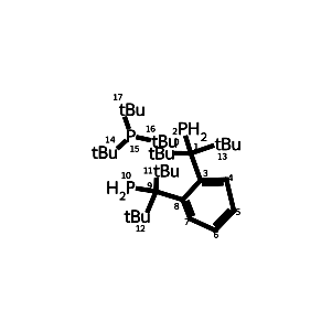 CC(C)(C)C(P)(c1ccccc1C(P)(C(C)(C)C)C(C)(C)C)C(C)(C)C.CC(C)(C)P(C(C)(C)C)C(C)(C)C